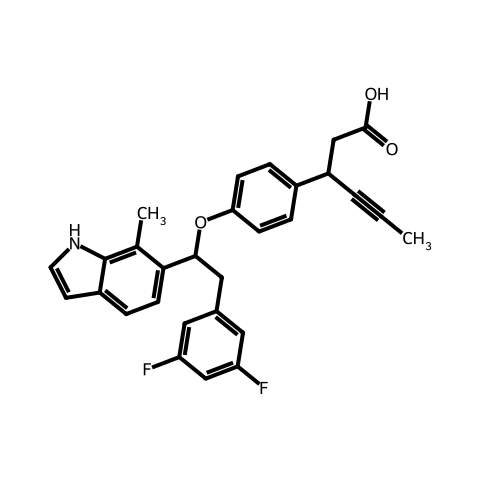 CC#CC(CC(=O)O)c1ccc(OC(Cc2cc(F)cc(F)c2)c2ccc3cc[nH]c3c2C)cc1